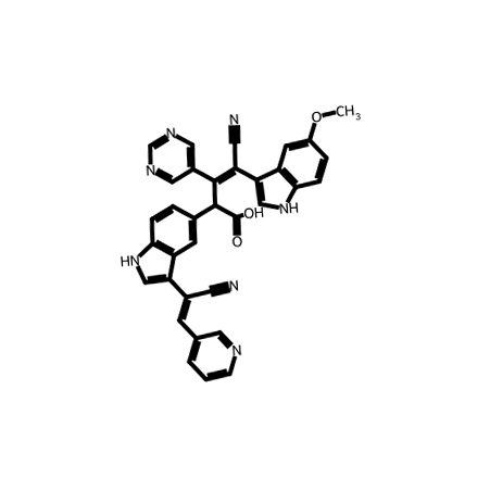 COc1ccc2[nH]cc(/C(C#N)=C(/c3cncnc3)C(C(=O)O)c3ccc4[nH]cc(/C(C#N)=C/c5cccnc5)c4c3)c2c1